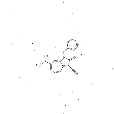 CC(C)c1cccc2c(C#N)c(=O)n(Cc3ccccc3)c-2c1